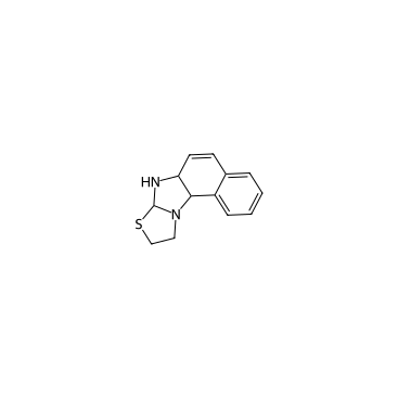 C1=CC2NC3SCCN3C2c2ccccc21